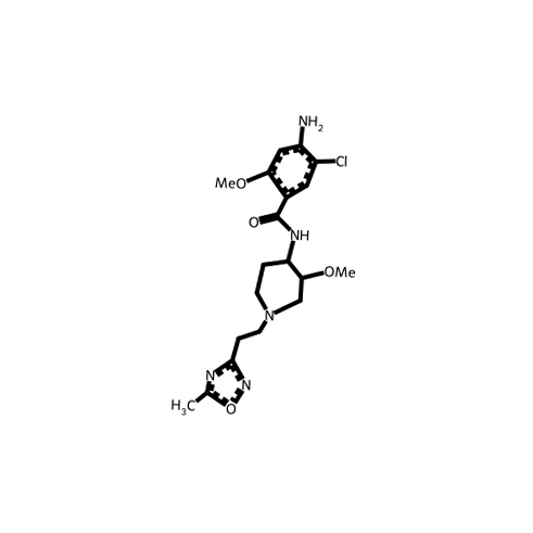 COc1cc(N)c(Cl)cc1C(=O)NC1CCN(CCc2noc(C)n2)CC1OC